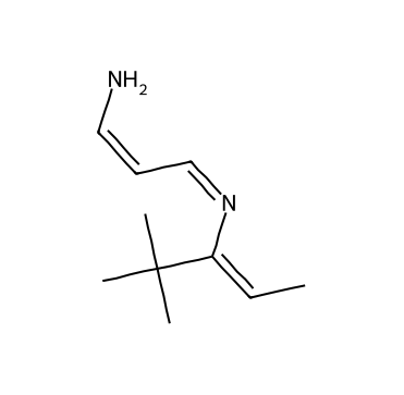 C\C=C(/N=C\C=C/N)C(C)(C)C